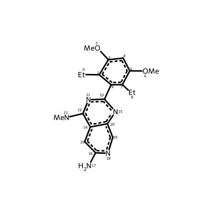 CCc1c(OC)cc(OC)c(CC)c1-c1nc(NC)c2cc(N)ncc2n1